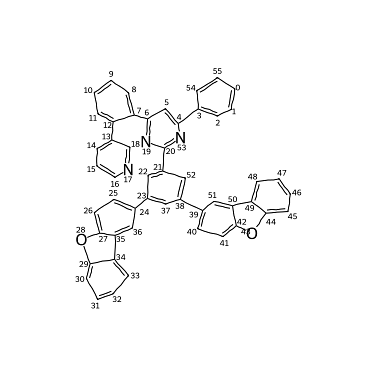 c1ccc(-c2cc(-c3ccccc3-c3cccnc3)nc(-c3cc(-c4ccc5oc6ccccc6c5c4)cc(-c4ccc5oc6ccccc6c5c4)c3)n2)cc1